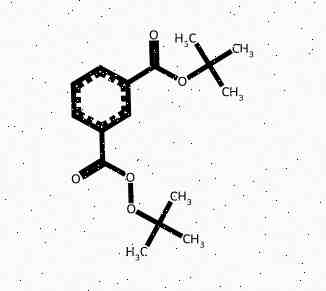 CC(C)(C)OOC(=O)c1cccc(C(=O)OC(C)(C)C)c1